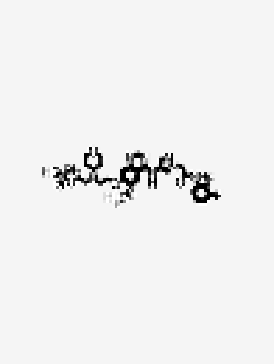 COc1cc2c(Nc3cnn(CC(=O)Nc4cccc(F)c4F)c3)ncnc2cc1OCCN(CCOP(=O)(O)O)C1CCOCC1